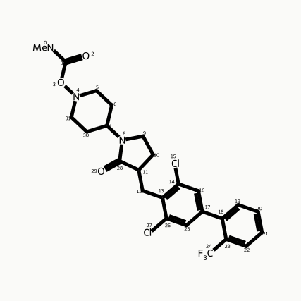 CNC(=O)ON1CCC(N2CCC(Cc3c(Cl)cc(-c4ccccc4C(F)(F)F)cc3Cl)C2=O)CC1